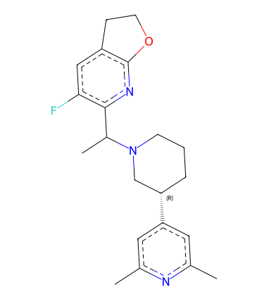 Cc1cc([C@H]2CCCN(C(C)c3nc4c(cc3F)CCO4)C2)cc(C)n1